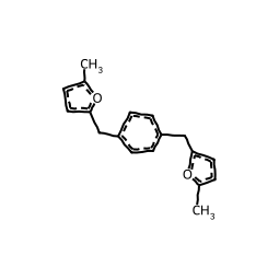 Cc1ccc(Cc2ccc(Cc3ccc(C)o3)cc2)o1